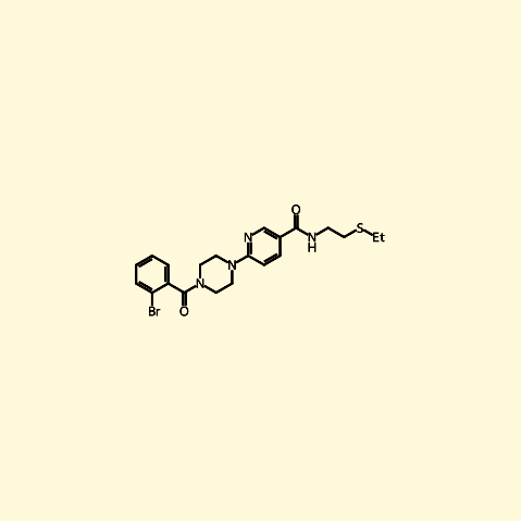 CCSCCNC(=O)c1ccc(N2CCN(C(=O)c3ccccc3Br)CC2)nc1